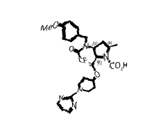 COc1ccc(CN(C(=O)C(F)(F)F)[C@H]2C[C@@H](C)N(C(=O)O)[C@H]2COC2CCN(c3ncccn3)CC2)cc1